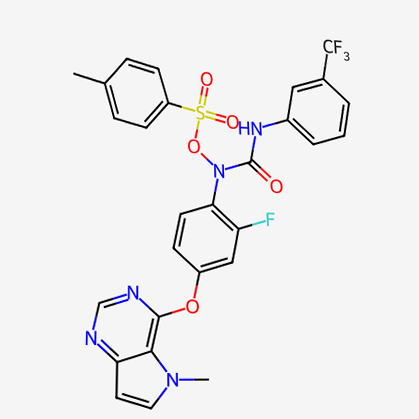 Cc1ccc(S(=O)(=O)ON(C(=O)Nc2cccc(C(F)(F)F)c2)c2ccc(Oc3ncnc4ccn(C)c34)cc2F)cc1